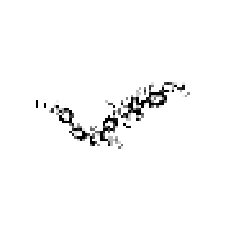 Cc1cccc(-n2c(=O)c(C(=O)Nc3ccc(-c4nc(-c5cnn(C6CCN(C)CC6)c5)cnc4N)nc3)c(C)n2C)c1